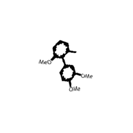 COc1ccc(-c2c(C)cccc2OC)cc1OC